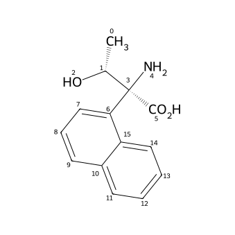 C[C@@H](O)[C@](N)(C(=O)O)c1cccc2ccccc12